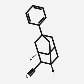 N#CC1[C@@H]2CC3C[C@H]1CC(c1ccccc1)(C3)C2